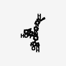 C#CCNC1(C)CCN(C2CCN(c3nc([C@@H](C)C(CO)(OC4CC4)c4ccccc4)c4cc(-c5cn(C)c(=O)c6[nH]ccc56)ccc4n3)CC2)CC1